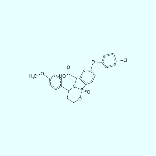 COc1ccc(C2CCOP(=O)(c3ccc(Oc4ccc(Cl)cc4)cc3)N2CC(=O)O)cc1